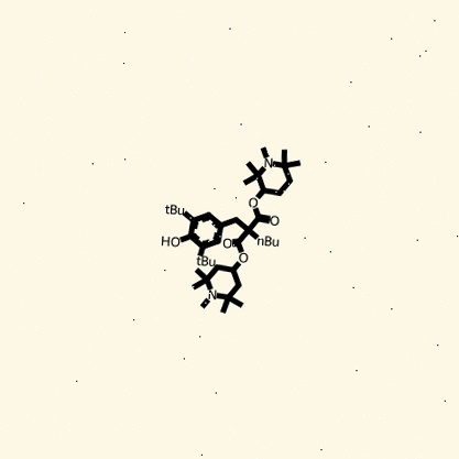 CCCCC(Cc1cc(C(C)(C)C)c(O)c(C(C)(C)C)c1)(C(=O)OC1CC(C)(C)N(C)C(C)(C)C1)C(=O)OC1CCC(C)(C)N(C)C1(C)C